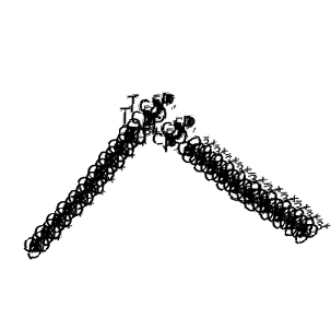 CP(C)C([CH2][Tc+5])OC([CH2][Tc+5])P(C)C.CP(C)C([CH2][Tc+5])OC([CH2][Tc+5])P(C)C.[O-][Cl+3]([O-])([O-])[O-].[O-][Cl+3]([O-])([O-])[O-].[O-][Cl+3]([O-])([O-])[O-].[O-][Cl+3]([O-])([O-])[O-].[O-][Cl+3]([O-])([O-])[O-].[O-][Cl+3]([O-])([O-])[O-].[O-][Cl+3]([O-])([O-])[O-].[O-][Cl+3]([O-])([O-])[O-].[O-][Cl+3]([O-])([O-])[O-].[O-][Cl+3]([O-])([O-])[O-].[O-][Cl+3]([O-])([O-])[O-].[O-][Cl+3]([O-])([O-])[O-].[O-][Cl+3]([O-])([O-])[O-].[O-][Cl+3]([O-])([O-])[O-].[O-][Cl+3]([O-])([O-])[O-].[O-][Cl+3]([O-])([O-])[O-].[O-][Cl+3]([O-])([O-])[O-].[O-][Cl+3]([O-])([O-])[O-].[O-][Cl+3]([O-])([O-])[O-].[O-][Cl+3]([O-])([O-])[O-]